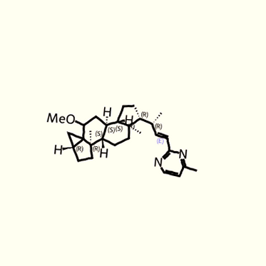 COC1C[C@H]2[C@@H]3CC[C@H]([C@H](C)/C=C/c4nccc(C)n4)[C@@]3(C)CC[C@@H]2[C@@]2(C)CC[C@@H]3CC132